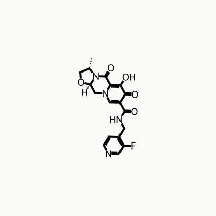 C[C@H]1CO[C@@H]2Cn3cc(C(=O)NCc4ccncc4F)c(=O)c(O)c3C(=O)N12